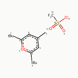 Cc1cc(C(C)(C)C)[o+]c(C(C)(C)C)c1.O=S(=O)([O-])C(F)(F)F